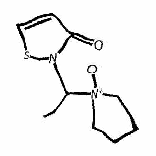 CC(n1sccc1=O)[N+]1([O-])CCCC1